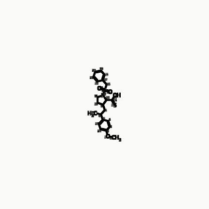 COc1ccc([C@@H](C)CC2CCN(S(=O)(=O)Cc3ccccc3)C2C(O)=S)cc1